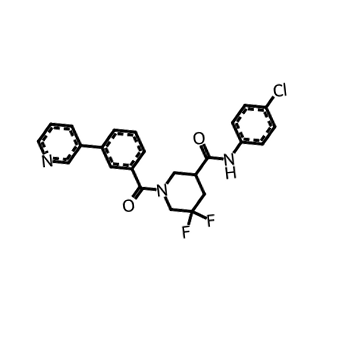 O=C(Nc1ccc(Cl)cc1)C1CN(C(=O)c2cccc(-c3cccnc3)c2)CC(F)(F)C1